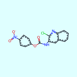 O=C(Nc1cc2ccccc2nc1Cl)Oc1ccc([N+](=O)[O-])cc1